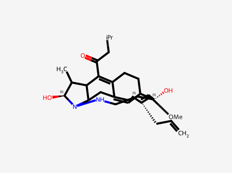 C=CC[C@H]1CNN2C3CC4=C5CC=C(OC)[C@]1(O)C5CCC4=C(C(=O)CC(C)C)C3C(C)[C@@H]2O